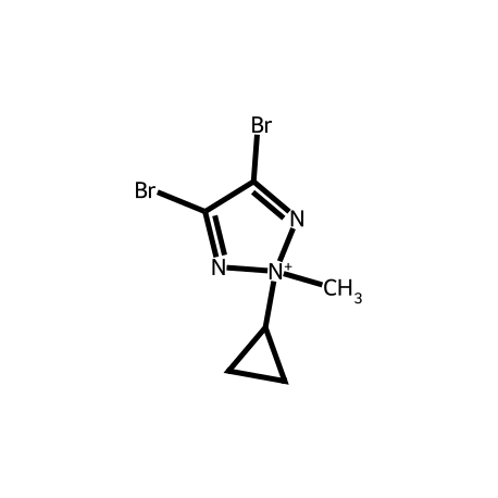 C[N+]1(C2CC2)N=C(Br)C(Br)=N1